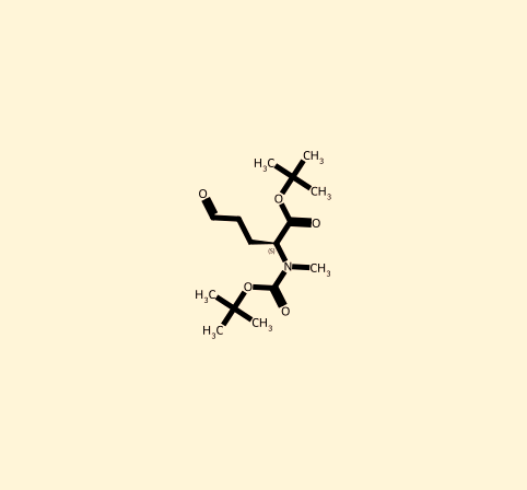 CN(C(=O)OC(C)(C)C)[C@@H](CCC=O)C(=O)OC(C)(C)C